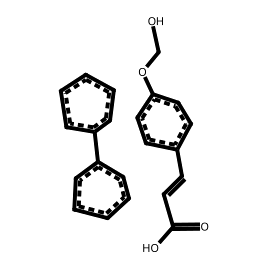 O=C(O)C=Cc1ccc(OCO)cc1.c1ccc(-c2ccccc2)cc1